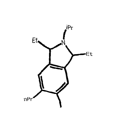 CCCc1cc2c(cc1C)C(CC)N(C(C)C)C2CC